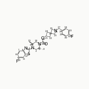 C[C@@H]1CN(c2nc3ccc(F)cc3s2)[C@@H](C)CN1C(=O)OC1CC2(C1)CN(Cc1ccc(F)cc1)C2